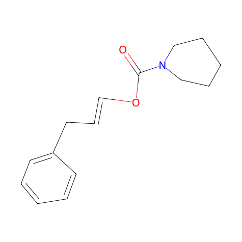 O=C(O/C=C/Cc1ccccc1)N1CCCCC1